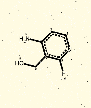 Nc1ccnc(F)c1CO